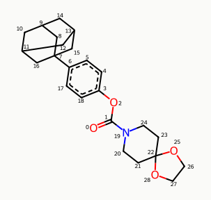 O=C(Oc1ccc(C23CC4CC(CC(C4)C2)C3)cc1)N1CCC2(CC1)OCCO2